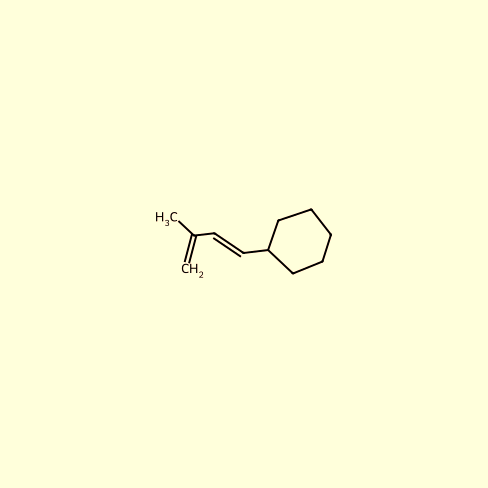 C=C(C)C=CC1CCCCC1